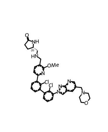 COc1nc(-c2cccc(-c3cccc(-n4cc5cc(CN6CCOCC6)cnc5n4)c3Cl)c2Cl)ccc1CNC[C@@H]1CCC(=O)N1